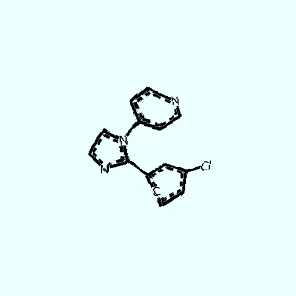 Clc1cccc(-c2nccn2-c2ccncc2)c1